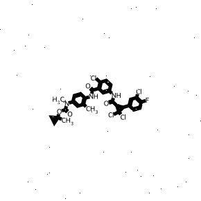 Cc1cc(N(C)C(=O)OC2(C)C=C2)ccc1NC(=O)c1cc(NC(=O)C2C(c3ccc(F)c(Cl)c3)C2(Cl)Cl)ccc1Cl